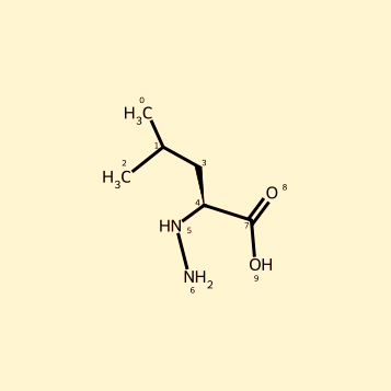 CC(C)C[C@H](NN)C(=O)O